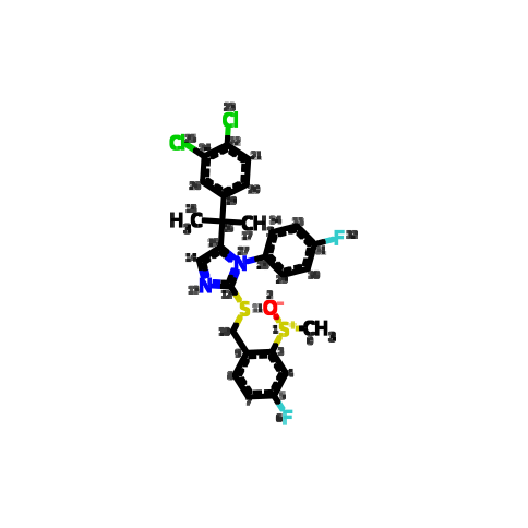 C[S+]([O-])c1cc(F)ccc1CSc1ncc(C(C)(C)c2ccc(Cl)c(Cl)c2)n1-c1ccc(F)cc1